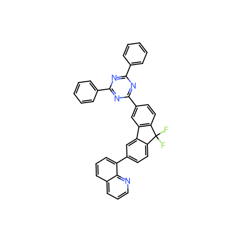 FC1(F)c2ccc(-c3nc(-c4ccccc4)nc(-c4ccccc4)n3)cc2-c2cc(-c3cccc4cccnc34)ccc21